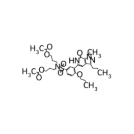 CCCOc1ccc(S(=O)(=O)N(CCCOC(C)=O)CCCOC(C)=O)cc1-c1cc2c(CCC)nn(C)c2c(=O)[nH]1